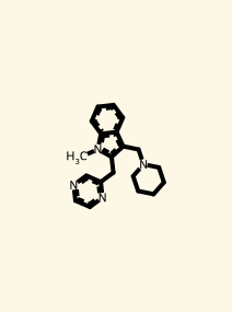 Cn1c(Cc2cnccn2)c(CN2CCCCC2)c2ccccc21